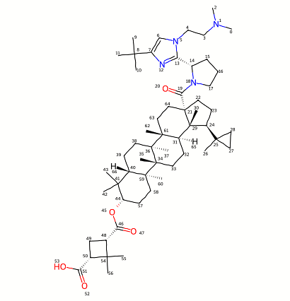 CN(C)CCn1cc(C(C)(C)C)nc1[C@@H]1CCCN1C(=O)[C@]12CC[C@@H](C3(C)CC3)[C@]1(C)[C@H]1CC[C@@]3(C)[C@@](C)(CC[C@H]4C(C)(C)[C@@H](OC(=O)[C@H]5C[C@@H](C(=O)O)C5(C)C)CC[C@@]43C)[C@]1(C)CC2